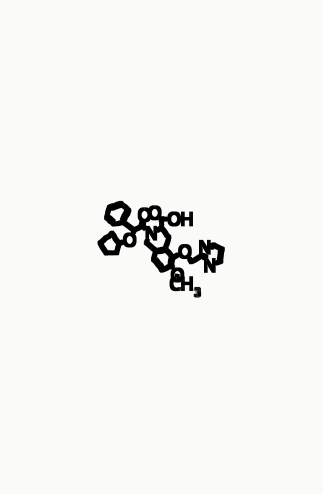 COc1ccc2c(c1OCc1ncccn1)CC(C(=O)O)N(C(=O)C(OC1CCCC1)c1ccccc1)C2